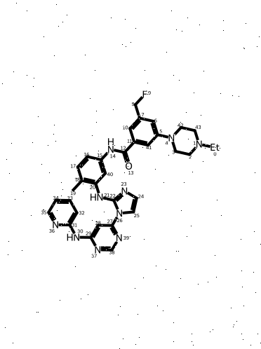 CCN1CCN(c2cc(CF)cc(C(=O)Nc3ccc(C)c(Nc4nccn4-c4cc(Nc5ccccn5)ncn4)c3)c2)CC1